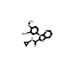 C=Nc1ccc(-n2c(C(=O)NC3CC3)nc3cccnc32)cc1SC